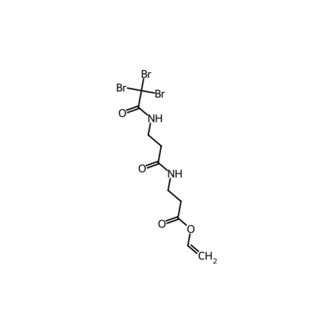 C=COC(=O)CCNC(=O)CCNC(=O)C(Br)(Br)Br